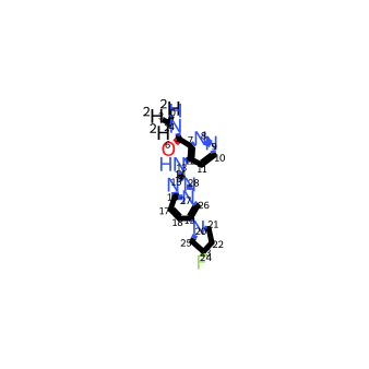 [2H]C([2H])([2H])NC(=O)c1nnccc1Nc1nc2ccc(N3CCC(F)C3)cn2n1